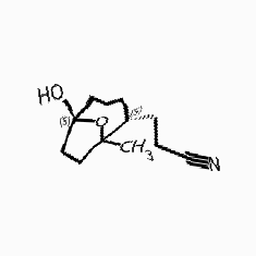 CC12CC[C@](O)(CC[C@@H]1CCC#N)O2